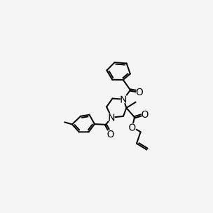 C=CCOC(=O)C1(C)CN(C(=O)c2ccc(C)cc2)CCN1C(=O)c1ccccc1